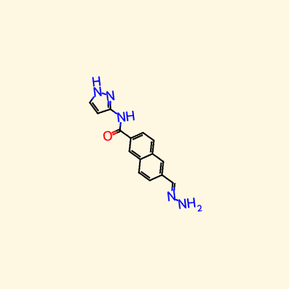 NN=Cc1ccc2cc(C(=O)Nc3cc[nH]n3)ccc2c1